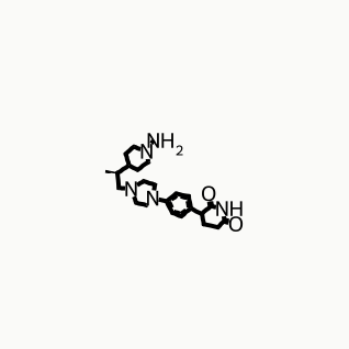 C[C@H](CN1CCN(c2ccc(C3CCC(=O)NC3=O)cc2)CC1)C1CCN(N)CC1